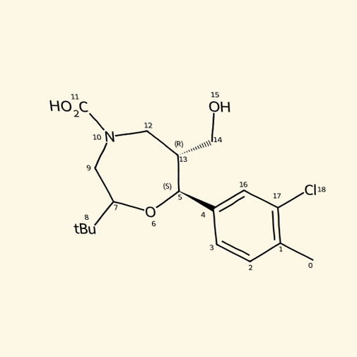 Cc1ccc([C@H]2OC(C(C)(C)C)CN(C(=O)O)C[C@@H]2CO)cc1Cl